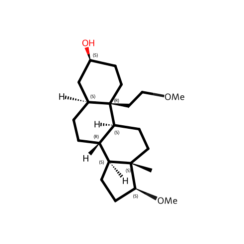 COCC[C@]12CC[C@H](O)C[C@@H]1CC[C@H]1[C@@H]3CC[C@H](OC)[C@@]3(C)CC[C@@H]12